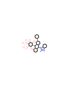 Bc1c(B)c(B)c(-c2c3ccccc3c(-n3c(C)nc4ccccc43)c3ccc(-c4ccccc4)cc23)c(B)c1B